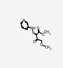 COCC(=O)C(=NNc1cccnc1)C(=O)OC